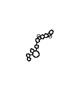 c1cccc(-c2cccc3ccccc23)c2ccccc2c(-c2ccc(-c3ccc4oc5cc6cc7c(cc6cc5c4c3)oc3ccccc37)cc2)cc1